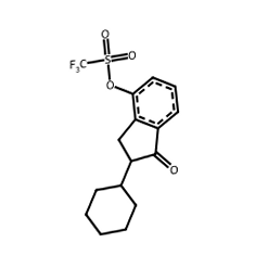 O=C1c2cccc(OS(=O)(=O)C(F)(F)F)c2CC1C1CCCCC1